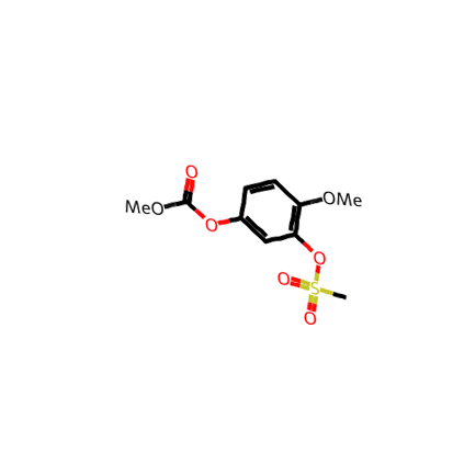 COC(=O)Oc1ccc(OC)c(OS(C)(=O)=O)c1